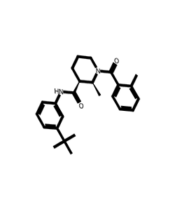 Cc1ccccc1C(=O)N1CCC[C@H](C(=O)Nc2cccc(C(C)(C)C)c2)[C@@H]1C